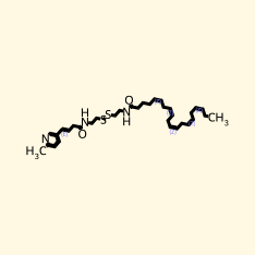 CC/C=C\C/C=C\C/C=C\C/C=C\C/C=C\CCCC(=O)NCCSSCCNC(=O)C/C=C/c1ccc(C)nc1